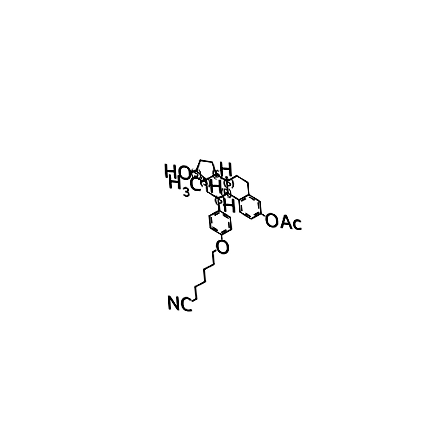 CC(=O)Oc1ccc2c(c1)CC[C@@H]1[C@@H]2[C@@H](c2ccc(OCCCCCCC#N)cc2)C[C@]2(C)[C@@H](O)CC[C@@H]12